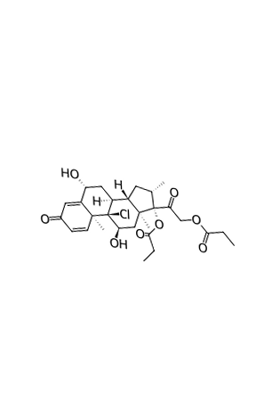 CCC(=O)OCC(=O)[C@]1(OC(=O)CC)[C@@H](C)C[C@H]2[C@@H]3C[C@@H](O)C4=CC(=O)C=C[C@]4(C)[C@@]3(Cl)[C@H](O)C[C@@]21C